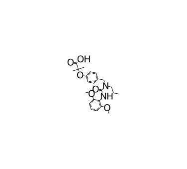 CCCN(Cc1ccc(OC(C)(C)C(=O)O)cc1)C(=O)Nc1c(OC)cccc1OC